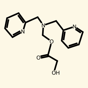 O=C(CO)OCN(Cc1ccccn1)Cc1ccccn1